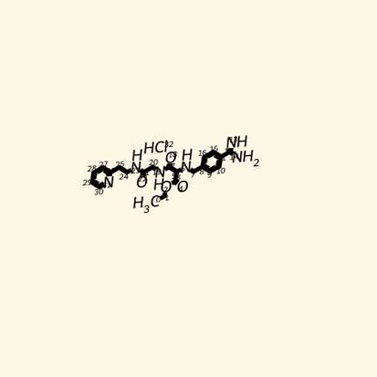 CCOC(=O)C(NCc1ccc(C(=N)N)cc1)C(=O)NCC(=O)NCCc1ccccn1.Cl